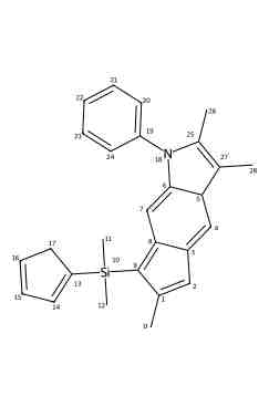 CC1=CC2=CC3C(=CC2=C1[Si](C)(C)C1=CC=CC1)N(c1ccccc1)C(C)=C3C